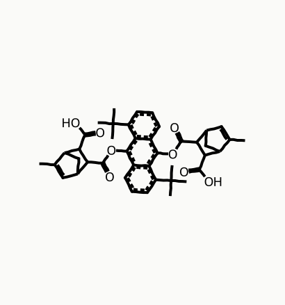 CC1=CC2CC1C(C(=O)O)C2C(=O)Oc1c2cccc(C(C)(C)C)c2c(OC(=O)C2C3C=C(C)C(C3)C2C(=O)O)c2cccc(C(C)(C)C)c12